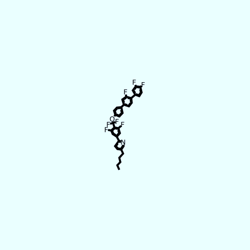 CCCCCc1ccc(-c2cc(F)c(C(F)(F)Oc3ccc(-c4ccc(-c5ccc(F)c(F)c5)c(F)c4)cc3)c(F)c2)nc1